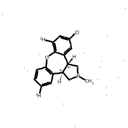 [2H]c1ccc2c(c1)[C@@H]1CN(C)C[C@H]1c1cc(Cl)cc([2H])c1O2